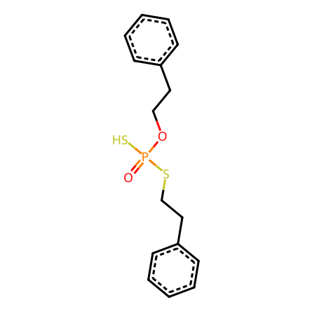 O=P(S)(OCCc1ccccc1)SCCc1ccccc1